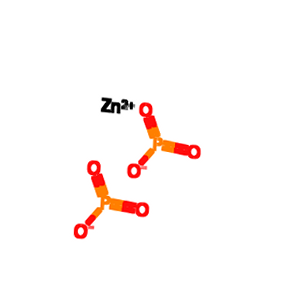 O=P(=O)[O-].O=P(=O)[O-].[Zn+2]